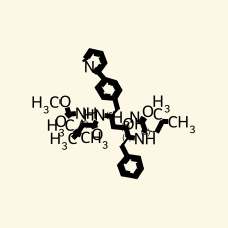 COC(=O)N[C@H](C(=O)N[C@@H](Cc1ccc(-c2ccccn2)cc1)C[C@H](O)[C@H](Cc1ccccc1)N[C@@H](CC(C)C)C(N)=O)C(C)(C)C